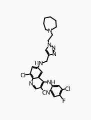 N#Cc1cnc2c(Cl)cc(NCc3cn(CCN4CCCCCC4)nn3)cc2c1Nc1ccc(F)c(Cl)c1